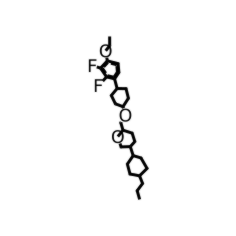 CCCC1CCC(C2CCC(COC3CCC(c4ccc(OCC)c(F)c4F)CC3)OC2)CC1